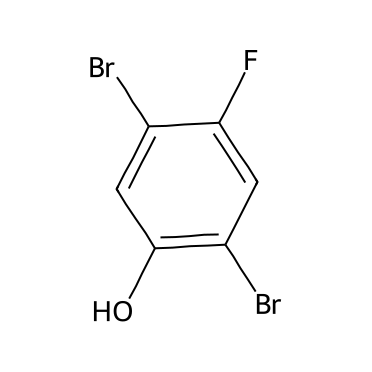 Oc1cc(Br)c(F)cc1Br